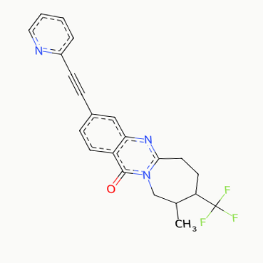 CC1Cn2c(nc3cc(C#Cc4ccccn4)ccc3c2=O)CCC1C(F)(F)F